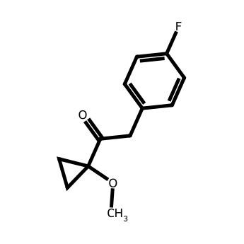 COC1(C(=O)Cc2ccc(F)cc2)CC1